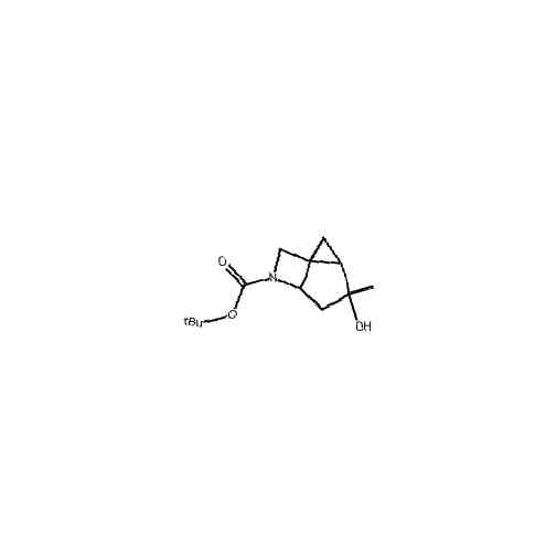 CC(C)(C)OC(=O)N1CC23CC2C(C)(O)CC13